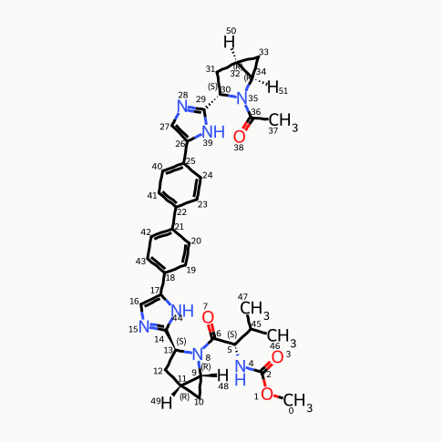 COC(=O)N[C@H](C(=O)N1[C@@H]2C[C@@H]2C[C@H]1c1ncc(-c2ccc(-c3ccc(-c4cnc([C@@H]5C[C@H]6C[C@H]6N5C(C)=O)[nH]4)cc3)cc2)[nH]1)C(C)C